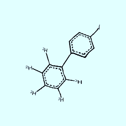 [2H]c1c([2H])c([2H])c(-c2ccc(I)cc2)c([2H])c1[2H]